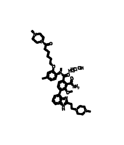 COc1c(-c2cccc3[nH]c(CCN4CCN(C)CC4)nc23)ccc(C(=O)N(C)c2ccc(C)cc2OCCCCCC(=O)N2CCN(C)CC2)c1C(N)=O.Cl.Cl.Cl